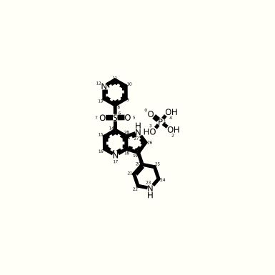 O=P(O)(O)O.O=S(=O)(c1cccnc1)c1ccnc2c(C3=CCNCC3)c[nH]c12